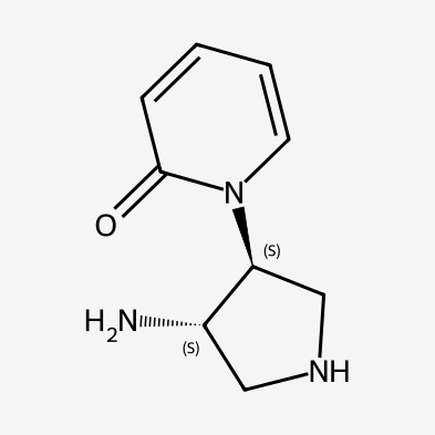 N[C@H]1CNC[C@@H]1n1ccccc1=O